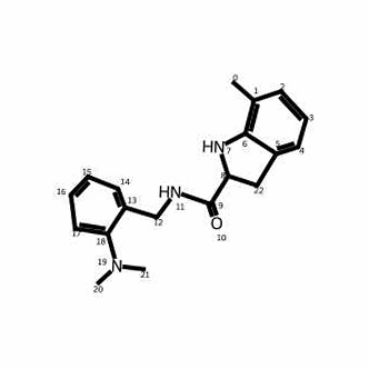 Cc1cccc2c1NC(C(=O)NCc1ccccc1N(C)C)C2